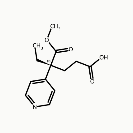 CC[C@](CCC(=O)O)(C(=O)OC)c1ccncc1